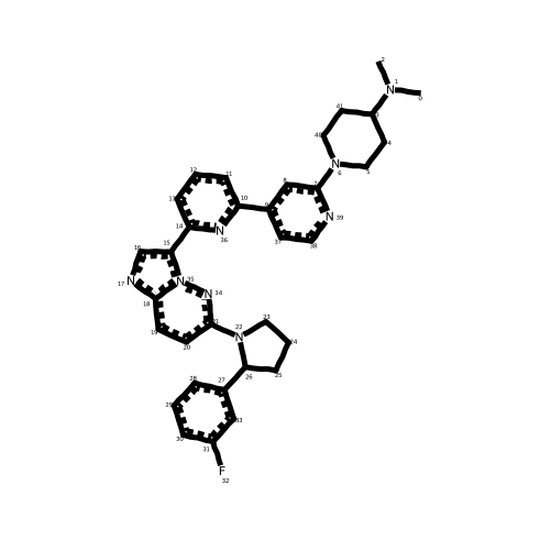 CN(C)C1CCN(c2cc(-c3cccc(-c4cnc5ccc(N6CCCC6c6cccc(F)c6)nn45)n3)ccn2)CC1